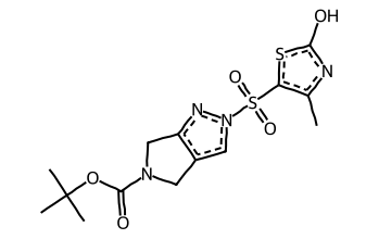 Cc1nc(O)sc1S(=O)(=O)n1cc2c(n1)CN(C(=O)OC(C)(C)C)C2